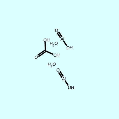 O.O.O=C(O)O.[O]=[Al][OH].[O]=[Al][OH]